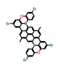 Cc1cc2c3c(cc4c(C)cc5c6c(cc1c3c46)B1c3ccc(Br)cc3Oc3cc(Br)cc-5c31)B1c3ccc(Br)cc3Oc3cc(Br)cc-2c31